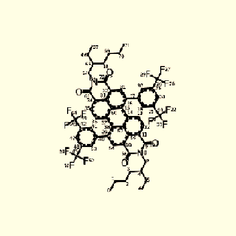 CCCCC(CC)CN1C(=O)c2ccc3c4c(-c5cc(C(F)(F)F)cc(C(F)(F)F)c5)cc5c6c(ccc(c7c(-c8cc(C(F)(F)F)cc(C(F)(F)F)c8)cc(c2c37)C1=O)c64)C(=O)N(CC(CC)CCCC)C5=O